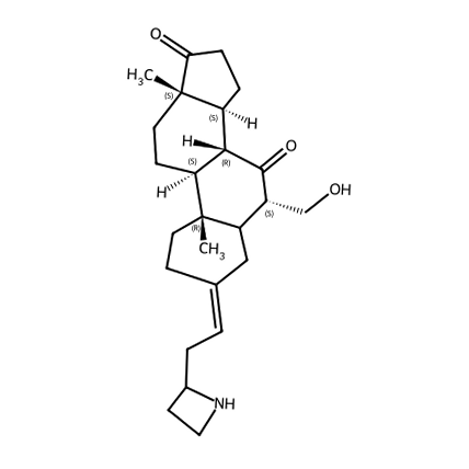 C[C@]12CCC(=CCC3CCN3)CC1[C@@H](CO)C(=O)[C@@H]1[C@@H]2CC[C@]2(C)C(=O)CC[C@@H]12